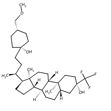 COC[C@H]1CC[C@](O)(CC[C@H](C)[C@@H]2CC[C@H]3[C@@H]4CC[C@H]5C[C@](O)(C(F)(F)F)CC[C@]5(C)[C@H]4CC[C@@]32C)CC1